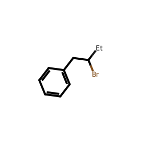 CCC(Br)Cc1ccccc1